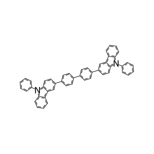 c1ccc(-n2c3ccccc3c3cc(-c4ccc(-c5ccc(-c6ccc7c(c6)c6ccccc6n7-c6ccccc6)cc5)cc4)ccc32)cc1